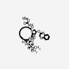 CN(C)S(=O)(=O)NC(=O)[C@@]12C[C@H]1/C=C\CCCCC[C@H](NC(=O)OC(C)(C)C)C(=O)N1C[C@H](Oc3cnc4ccccc4n3)C[C@H]1C(=O)N2